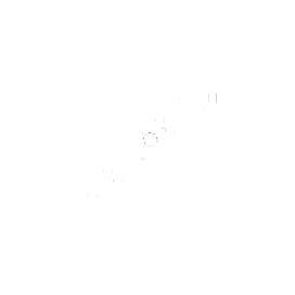 C=CC(=O)OCC(=O)OC1CCC(C(=O)Oc2ccc(C(=O)OC3CCC(C(=O)O)CC3)cc2)CC1